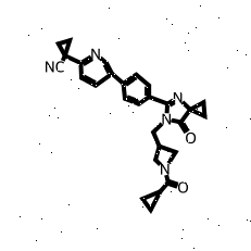 N#CC1(c2ccc(-c3ccc(C4=NC5(CC5)C(=O)N4CC4CN(C(=O)C5CC5)C4)cc3)cn2)CC1